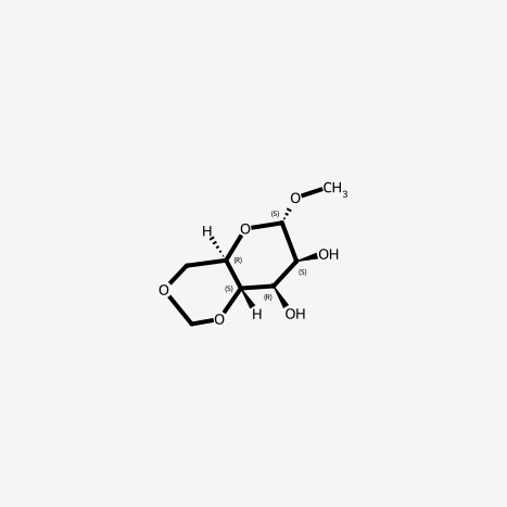 CO[C@H]1O[C@@H]2COCO[C@H]2[C@H](O)[C@@H]1O